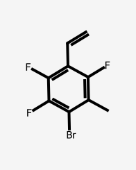 C=Cc1c(F)c(C)c(Br)c(F)c1F